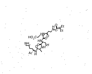 CCN(CC)C(=O)ONCCC(=O)N[C@@H](CCC(=O)O)C(=O)N[C@@H](CS)C(=O)NC(C)C(=O)N[C@@H](CCCCN)C(C)=O